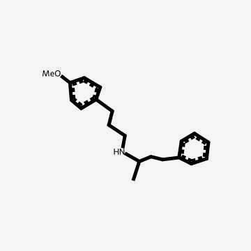 COc1ccc(CCCNC(C)CCc2ccccc2)cc1